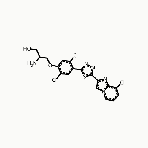 NC(CO)COc1cc(Cl)c(-c2nnc(-c3cn4cccc(Cl)c4n3)s2)cc1Cl